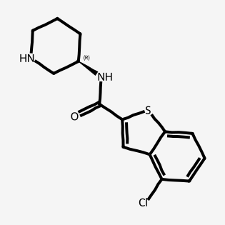 O=C(N[C@@H]1CCCNC1)c1cc2c(Cl)cccc2s1